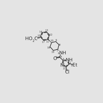 CCc1[nH]c(C(=O)N[C@H]2CC[C@H](c3cccc(C(=O)O)c3)CC2)nc1Cl